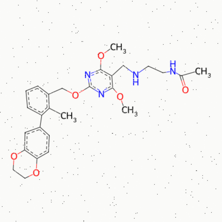 COc1nc(OCc2cccc(-c3ccc4c(c3)OCCO4)c2C)nc(OC)c1CNCCNC(C)=O